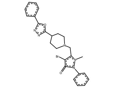 Cn1c(CN2CCC(c3nnc(-c4ccccc4)o3)CC2)c(Br)c(=O)n1-c1ccccc1